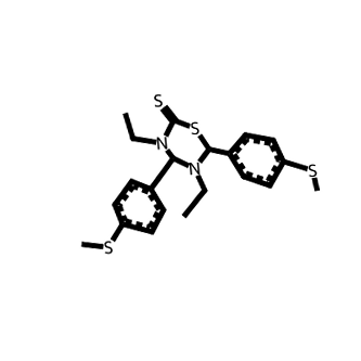 CCN1C(=S)SC(c2ccc(SC)cc2)N(CC)C1c1ccc(SC)cc1